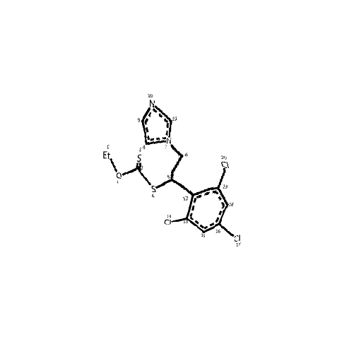 CCOC(=S)SC(Cn1ccnc1)c1c(Cl)cc(Cl)cc1Cl